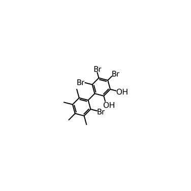 Cc1c(C)c(C)c(-c2c(O)c(O)c(Br)c(Br)c2Br)c(Br)c1C